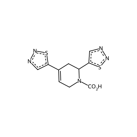 O=C(O)N1CC=C(c2cnns2)CC1c1cnns1